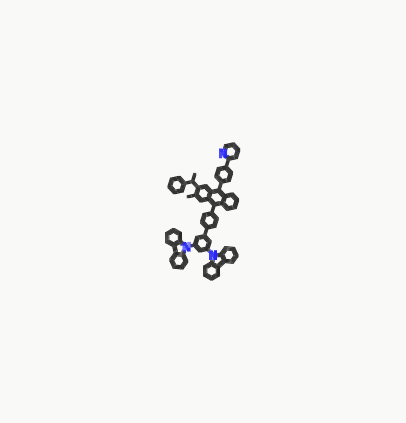 Cc1cc2c(-c3ccc(-c4cc(-n5c6ccccc6c6ccccc65)cc(-n5c6ccccc6c6ccccc65)c4)cc3)c3ccccc3c(-c3ccc(-c4ccccn4)cc3)c2cc1C(C)c1ccccc1